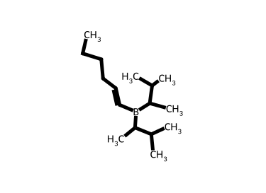 CCCCC=CB(C(C)C(C)C)C(C)C(C)C